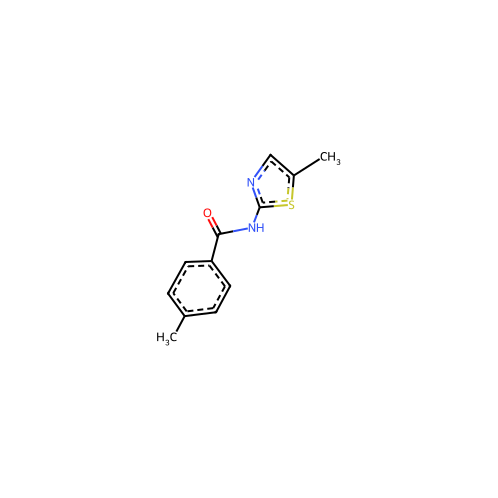 Cc1ccc(C(=O)Nc2ncc(C)s2)cc1